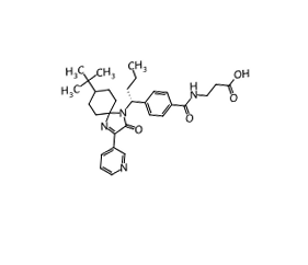 CCC[C@H](c1ccc(C(=O)NCCC(=O)O)cc1)N1C(=O)C(c2cccnc2)=NC12CCC(C(C)(C)C)CC2